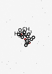 Cc1ccc(N(c2cc3c(c4ccccc24)-c2c(ccc4ccccc24)C32c3ccccc3-n3c4ccccc4c4cccc2c43)c2cccc3c2oc2c(C4CCCCC4)cccc23)c(C)c1